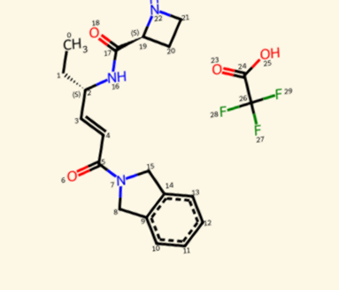 CC[C@@H](C=CC(=O)N1Cc2ccccc2C1)NC(=O)[C@@H]1CCN1.O=C(O)C(F)(F)F